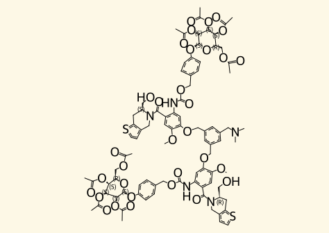 COc1cc(C(=O)N2Cc3ccsc3C[C@H]2CO)c(NC(=O)OCc2ccc(O[C@@H]3O[C@H](COC(C)=O)[C@H](OC(C)=O)[C@H](OC(C)=O)[C@@H]3OC(C)=O)cc2)cc1OCc1cc(COc2cc(NC(=O)OCc3ccc(O[C@@H]4O[C@H](COC(C)=O)[C@H](OC(C)=O)[C@H](OC(C)=O)[C@@H]4OC(C)=O)cc3)c(C(=O)N3Cc4ccsc4C[C@@H]3CO)cc2OC)cc(CN(C)C)c1